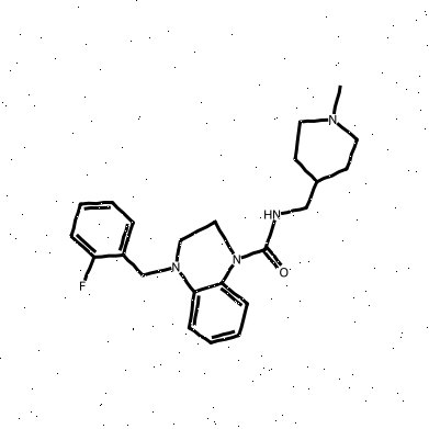 CN1CCC(CNC(=O)N2CCN(Cc3ccccc3F)c3ccccc32)CC1